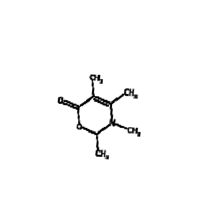 CC1=C(C)N(C)C(C)OC1=O